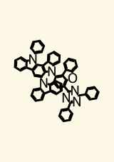 c1ccc(-c2nc(-c3ccccc3)nc(-c3ccc(-n4c5ccccc5c5c4c(-n4c6ccccc6c6ccccc64)cc4c6ccccc6n(-c6ccccc6)c45)c4c3oc3ccccc34)n2)cc1